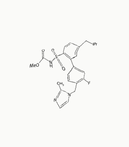 COC(=O)NS(=O)(=O)c1ccc(CC(C)C)cc1-c1ccc(Cn2ccnc2C)c(F)c1